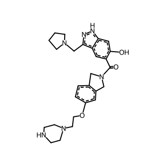 O=C(c1cc2c(CN3CCCC3)n[nH]c2cc1O)N1Cc2ccc(OCCN3CCNCC3)cc2C1